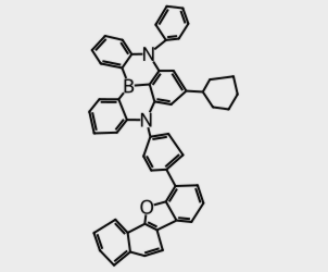 c1ccc(N2c3ccccc3B3c4ccccc4N(c4ccc(-c5cccc6c5oc5c7ccccc7ccc65)cc4)c4cc(C5CCCCC5)cc2c43)cc1